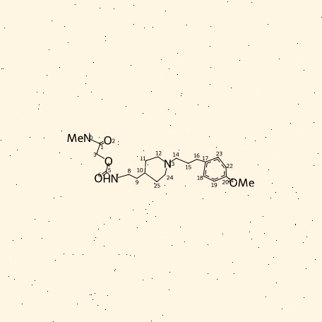 CNC(=O)COC(=O)NCCC1CCN(CCCc2ccc(OC)cc2)CC1